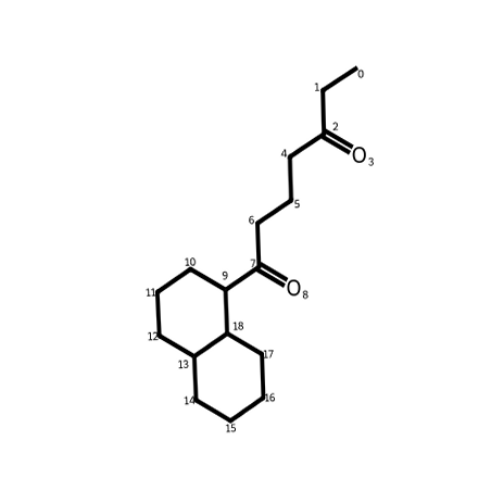 CCC(=O)CCCC(=O)C1CCCC2CCCCC21